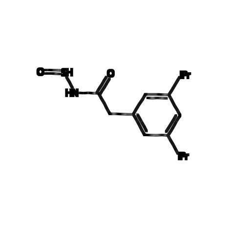 CC(C)c1cc(CC(=O)N[SH]=O)cc(C(C)C)c1